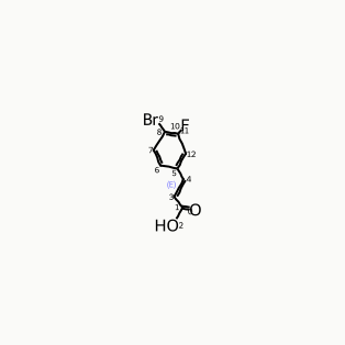 O=C(O)/C=C/c1ccc(Br)c(F)c1